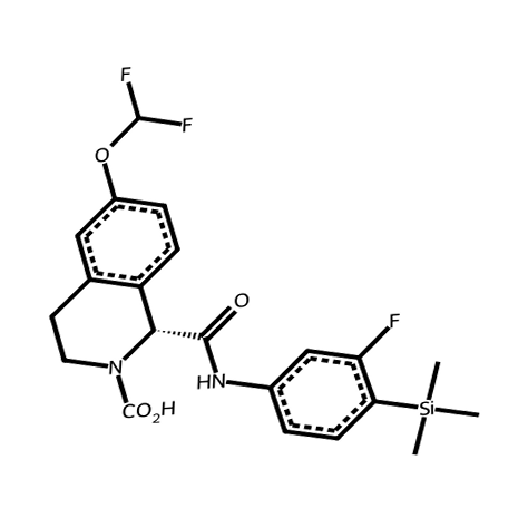 C[Si](C)(C)c1ccc(NC(=O)[C@H]2c3ccc(OC(F)F)cc3CCN2C(=O)O)cc1F